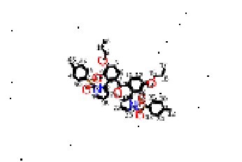 C=CCOc1ccc(C(=O)c2ccc(OCC=C)cc2-c2cccn2S(=O)(=O)c2ccc(C)cc2)c(-c2cccn2S(=O)(=O)c2ccc(C)cc2)c1